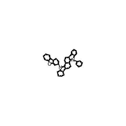 c1ccc(-n2c3ccccc3c3ccc4c(ccc5c6ccccc6n(-c6ccc7c(c6)oc6ccccc67)c54)c32)cc1